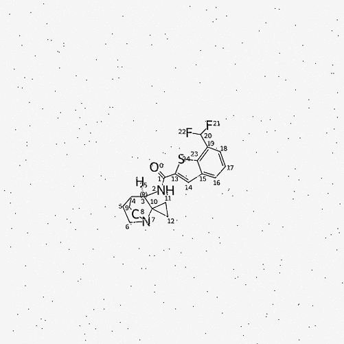 O=C(N[C@@H]1C2CCN(CC2)C12CC2)c1cc2cccc(C(F)F)c2s1